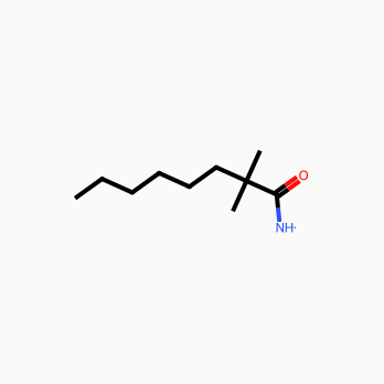 CCCCCCC(C)(C)C([NH])=O